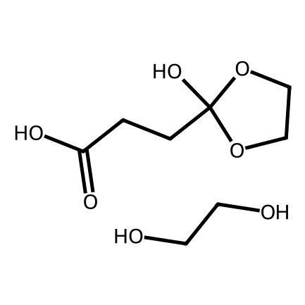 O=C(O)CCC1(O)OCCO1.OCCO